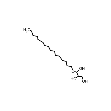 CCCCCCCCCCCCCCCCOC(O)C(O)CO